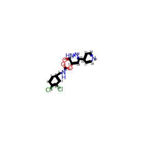 O=C(NCc1ccc(Cl)c(Cl)c1)Oc1cc(-c2ccncc2)n[nH]c1=O